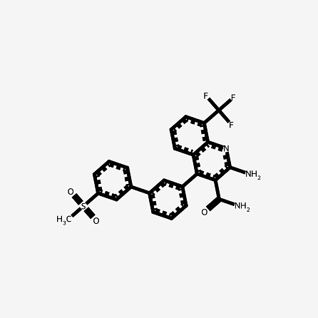 CS(=O)(=O)c1cccc(-c2cccc(-c3c(C(N)=O)c(N)nc4c(C(F)(F)F)cccc34)c2)c1